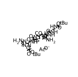 CC(=O)[O-].Cn1c(N)c(NC(=O)NCCNC(=O)OC(C)(C)C)c[n+]1CC1=C(C(=O)O)N2C(=O)[C@@H](NC(=O)C(=NOC(C)(C)C(=O)OC(C)(C)C)c3nsc(N)n3)[C@H]2SC1